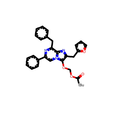 CC(C)(C)C(=O)OCOc1c(Cc2ccco2)nc2c(Cc3ccccc3)nc(-c3ccccc3)cn12